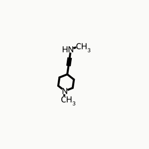 CNC#CC1CCN(C)CC1